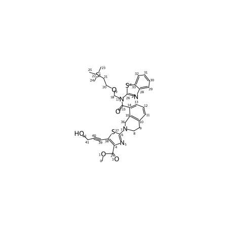 COC(=O)c1nc(N2CCc3cccc(C(=O)N(COCC[Si](C)(C)C)c4nc5ccccc5s4)c3C2)sc1C#CCO